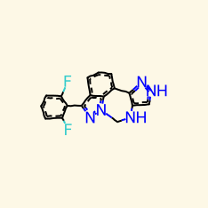 Fc1cccc(F)c1-c1nn2c3c(cccc13)-c1n[nH]cc1NC2